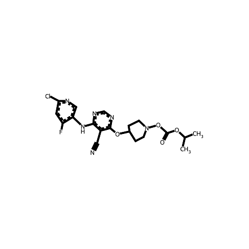 CC(C)OC(=O)ON1CCC(Oc2ncnc(Nc3cnc(Cl)cc3F)c2C#N)CC1